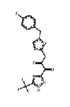 O=C(Cc1ccc(Cc2ccc(F)cc2)o1)C(=O)c1n[nH]c(C(F)(F)F)n1